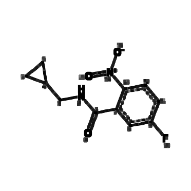 O=C(NCC1CC1)c1cc(F)ccc1[N+](=O)[O-]